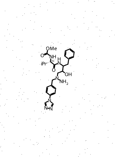 COC(=O)N[C@H](C(=O)NC(Cc1ccccc1)C(O)CN(N)Cc1ccc(-n2cnnc2)cc1)C(C)C